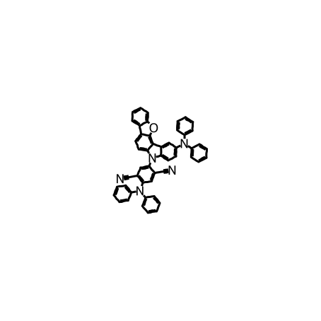 N#Cc1cc(-n2c3ccc(N(c4ccccc4)c4ccccc4)cc3c3c4oc5ccccc5c4ccc32)c(C#N)cc1N(c1ccccc1)c1ccccc1